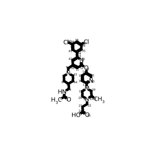 CC(=O)NCC1CCN(Cc2cc(Oc3ccc(N4CCN(CCC(=O)O)C(C)C4)nc3)nc(-c3cc(Cl)cc(Cl)c3)c2)CC1